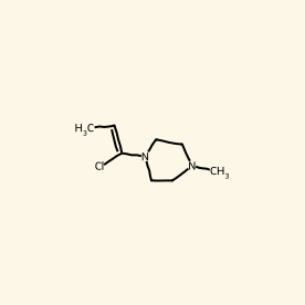 CC=C(Cl)N1CCN(C)CC1